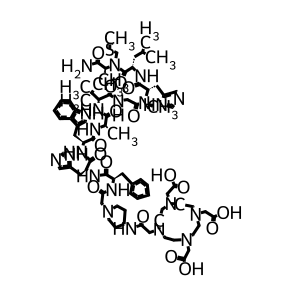 CSCN(C(=O)[C@H](CC(C)C)NC(=O)[C@H](Cc1cnc[nH]1)N(C)C(=O)CNC(=O)[C@@H](NC(=O)[C@H](C)NC(=O)[C@H](Cc1c[nH]c2ccccc12)NC(=O)[C@H](Cc1cnc[nH]1)NC(=O)[C@@H](Cc1ccccc1)NC(=O)CN1CCC(NC(=O)CN2CCN(CC(=O)O)CCN(CC(=O)O)CCN(CC(=O)O)CC2)CC1)C(C)(C)C)[C@@H](C)C(N)=O